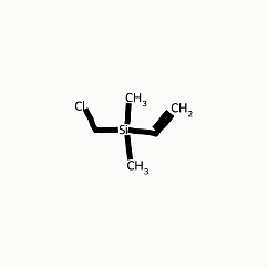 C=C[Si](C)(C)CCl